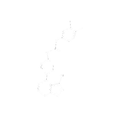 Cc1ccc(NC(=O)Nc2ccc(-c3nccc4[nH]nc(N)c34)cc2)cc1C